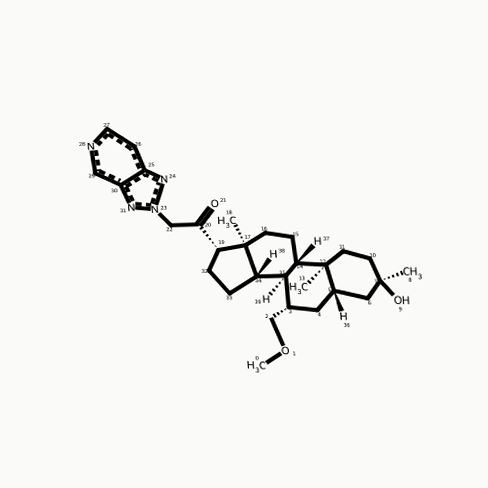 COC[C@H]1C[C@H]2C[C@](C)(O)CC[C@]2(C)[C@H]2CC[C@]3(C)[C@@H](C(=O)Cn4nc5ccncc5n4)CC[C@H]3[C@H]12